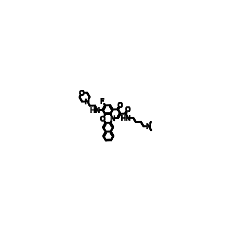 CN(C)CCCCNC(=O)c1cn2c3c(c(NCCN4CCOCC4)c(F)cc3c1=O)Oc1cc3ccccc3cc1-2